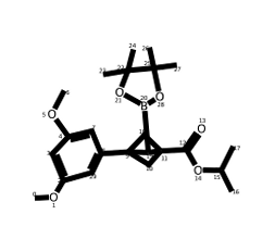 COc1cc(OC)cc(C23CC(C(=O)OC(C)C)(C2)C3B2OC(C)(C)C(C)(C)O2)c1